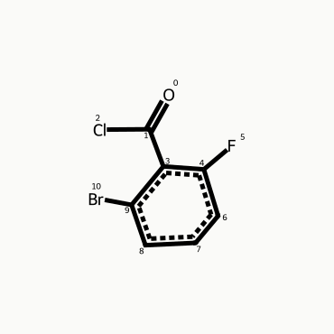 O=C(Cl)c1c(F)cccc1Br